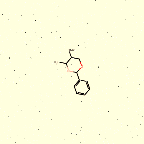 COC1COC(c2ccccc2)BC1C